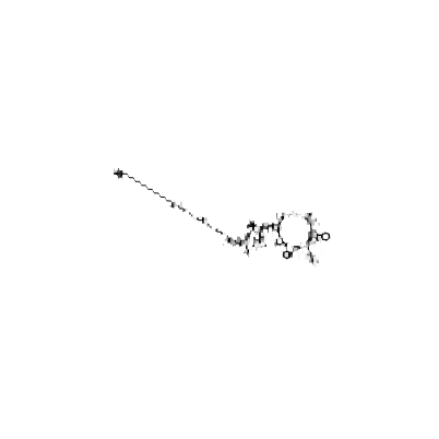 CCCC[C@H](NC(=O)[C@H](Cc1c[nH]cn1)NC(=O)[C@H](CO)NC(=O)[C@@H](CCC(N)=O)NC(=O)[C@H](CO)NC(=O)COCCOCCNC(=O)COCCOCCNC(=O)CCCCCCCCCCCCCCCc1nnn[nH]1)C(=O)N[C@H]1CCC(=O)NCCCC[C@@H](C(N)=O)NC(=O)[C@H](Cc2c[nH]c3ccccc23)NC(=O)[C@H](CCCNC(=N)N)NC(=O)[C@@H](Cc2ccccc2)NC(=O)C2C[C@@H](O)CN2C1=O